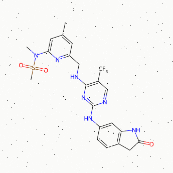 Cc1cc(CNc2nc(Nc3ccc4c(c3)NC(=O)C4)ncc2C(F)(F)F)nc(N(C)S(C)(=O)=O)c1